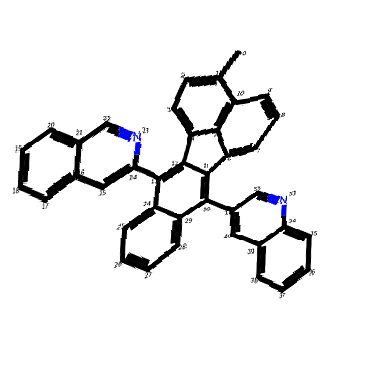 Cc1ccc2c3c(cccc13)-c1c-2c(-c2cc3ccccc3cn2)c2ccccc2c1-c1cnc2ccccc2c1